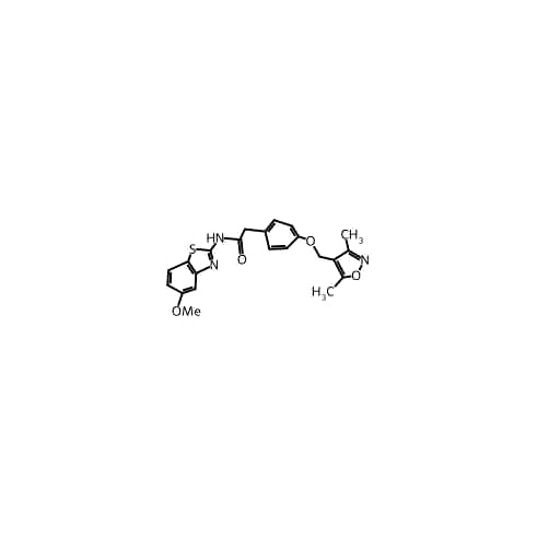 COc1ccc2sc(NC(=O)Cc3ccc(OCc4c(C)noc4C)cc3)nc2c1